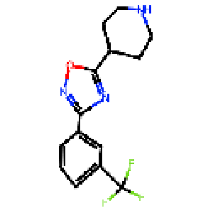 FC(F)(F)c1cccc(-c2noc(C3CCNCC3)n2)c1